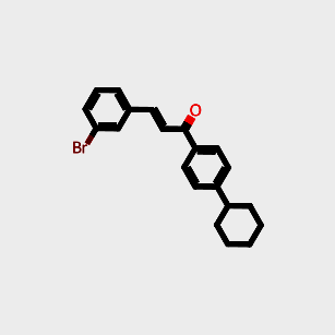 O=C(C=Cc1cccc(Br)c1)c1ccc(C2CCCCC2)cc1